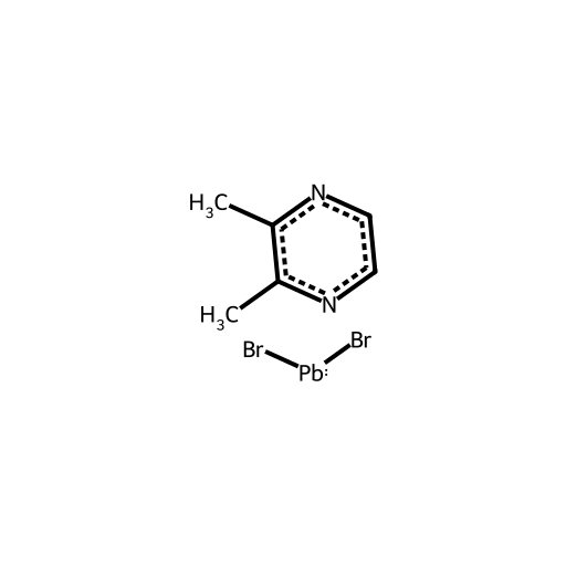 Cc1nccnc1C.[Br][Pb][Br]